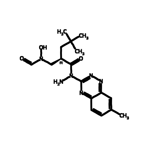 Cc1ccc2nc(N(N)C(=O)[C@@H](CN(O)C=O)CC(C)(C)C)nnc2c1